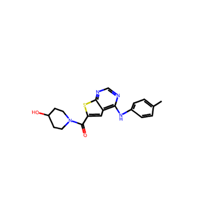 Cc1ccc(Nc2ncnc3sc(C(=O)N4CCC(O)CC4)cc23)cc1